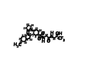 Cc1ccc2[nH]c(-c3cc(S(=O)(=O)NCC(=O)NC[C@H](O)C(F)(F)F)ccc3N3CCCC3)cc2c1